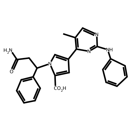 Cc1cnc(Nc2ccccc2)nc1-c1cc(C(=O)O)n(C(CC(N)=O)c2ccccc2)c1